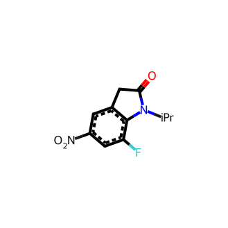 CC(C)N1C(=O)Cc2cc([N+](=O)[O-])cc(F)c21